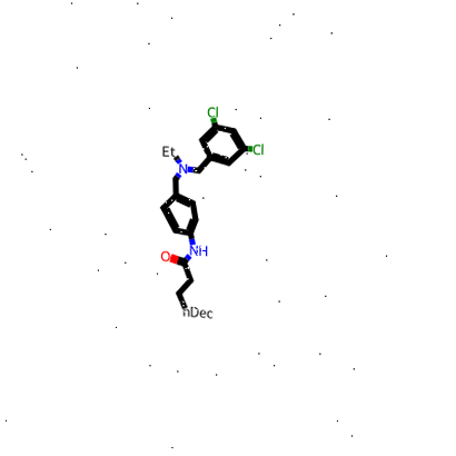 CCCCCCCCCCCCC(=O)Nc1ccc(CN(CC)Cc2cc(Cl)cc(Cl)c2)cc1